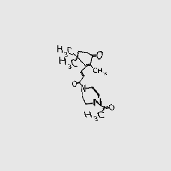 CC(=O)N1CCN(C(=O)/C=C/C2=C(C)C(=O)CCC2(C)C)CC1